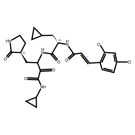 O=C(/C=C/c1ccc(Cl)cc1Cl)N[C@@H](CC1CC1)C(=O)NC(C[C@@H]1CCNC1=O)C(=O)C(=O)NC1CC1